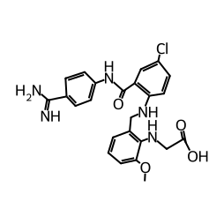 COc1cccc(CNc2ccc(Cl)cc2C(=O)Nc2ccc(C(=N)N)cc2)c1NCC(=O)O